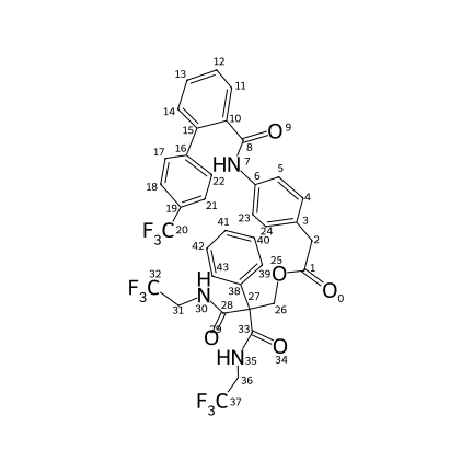 O=C(Cc1ccc(NC(=O)c2ccccc2-c2ccc(C(F)(F)F)cc2)cc1)OCC(C(=O)NCC(F)(F)F)(C(=O)NCC(F)(F)F)c1ccccc1